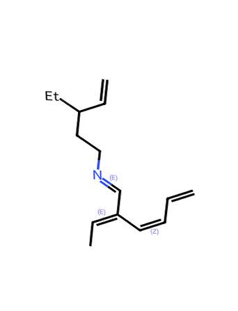 C=C\C=C/C(/C=N/CCC(C=C)CC)=C\C